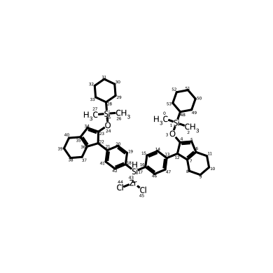 C[Si](C)(OC1=CC2=C(CCCC2)C1c1ccc([SiH](c2ccc(C3C(O[Si](C)(C)C4CCCCC4)=CC4=C3CCCC4)cc2)[Zr]([Cl])[Cl])cc1)C1CCCCC1